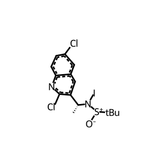 C[C@H](c1cc2cc(Cl)ccc2nc1Cl)N(I)[S+]([O-])C(C)(C)C